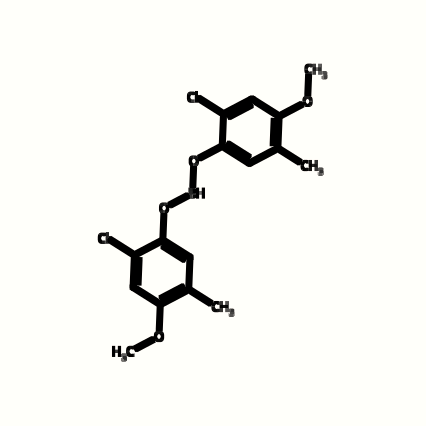 COc1cc(Cl)c(OBOc2cc(C)c(OC)cc2Cl)cc1C